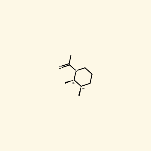 CC(=O)N1CCC[C@@H](C)[C@H]1C